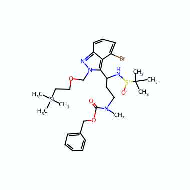 CN(CCC(N[S+]([O-])C(C)(C)C)c1c2c(Br)cccc2nn1COCC[Si](C)(C)C)C(=O)OCc1ccccc1